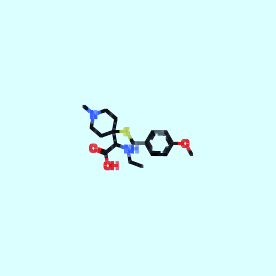 CCNC(C(=O)O)C1(SCc2ccc(OC)cc2)CCN(C)CC1